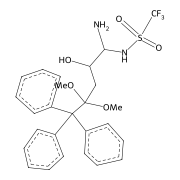 COC(CC(O)C(N)NS(=O)(=O)C(F)(F)F)(OC)C(c1ccccc1)(c1ccccc1)c1ccccc1